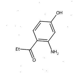 CCC(=O)c1ccc(O)cc1N